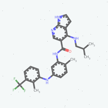 Cc1ccc(Nc2cccc(C(F)(F)F)c2C)cc1NC(=O)c1cnc2[nH]ccc2c1NCC(C)C